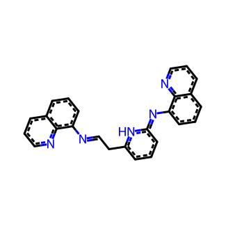 C(Cc1cccc(=Nc2cccc3cccnc23)[nH]1)=Nc1cccc2cccnc12